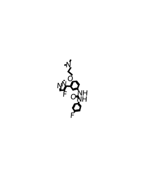 CN(C)CCCOc1ccc(NC(=O)Nc2ccc(F)cc2)cc1-c1c(F)cnn1C